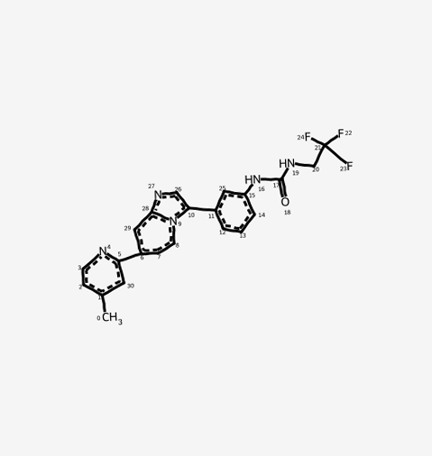 Cc1ccnc(-c2ccn3c(-c4cccc(NC(=O)NCC(F)(F)F)c4)cnc3c2)c1